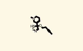 CC#CCCOC1(C2=CCCN(C)C2)C=NSN1